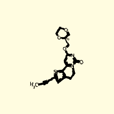 CC#Cc1cc2c(s1)-c1cc(OC[C@@H]3COCCO3)nc(=O)n1CC2